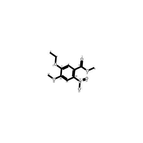 CCOc1cc(C(=O)OC)c([N+](=O)[O-])cc1OC